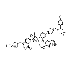 CC1(C)CCC(CN2CCN(c3ccc(C(=O)NS(=O)(=O)c4ccc(NCC5CC[PH](C)(O)CC5)c([N+](=O)[O-])c4)c(N4CCCOc5nc6[nH]ccc6cc54)c3)CC2)=C(c2ccc(Cl)cc2)C1